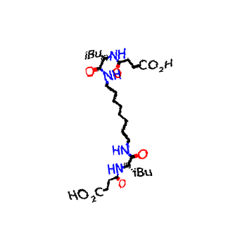 CCC(C)[C@H](NC(=O)CCC(=O)O)C(=O)NCCCCCCCCNC(=O)[C@@H](NC(=O)CCC(=O)O)C(C)CC